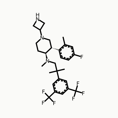 Cc1cc(F)ccc1[C@H]1CN(C2CNC2)CC[C@@H]1N(C)CC(C)(C)c1cc(C(F)(F)F)cc(C(F)(F)F)c1